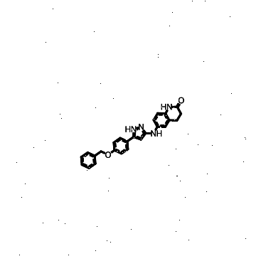 O=C1CCc2cc(Nc3cc(-c4ccc(OCc5ccccc5)cc4)[nH]n3)ccc2N1